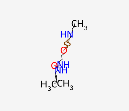 CCCCNCCSSCOCCCCNC(=O)NCC#CC(C)C